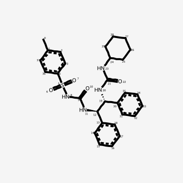 Cc1ccc(S(=O)(=O)NC(=O)N[C@H](c2ccccc2)[C@H](NC(=O)NC2CCCCC2)c2ccccc2)cc1